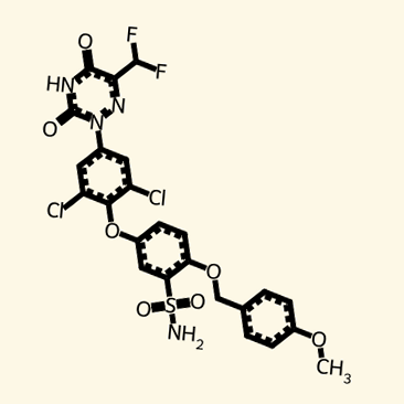 COc1ccc(COc2ccc(Oc3c(Cl)cc(-n4nc(C(F)F)c(=O)[nH]c4=O)cc3Cl)cc2S(N)(=O)=O)cc1